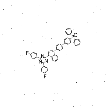 O=P(c1ccccc1)(c1ccccc1)c1ccc(-c2ccc(-c3ccc(-c4nc(-c5ccc(F)cc5)nc(-c5ccc(F)cc5)n4)c4ccccc34)cc2)cc1